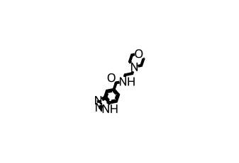 O=C(NCCN1CCOCC1)c1ccc2[nH]nnc2c1